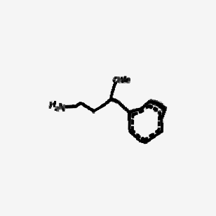 COC([CH]CN)c1ccccc1